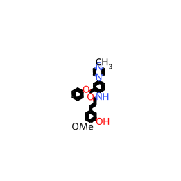 COc1ccc(/C=C/C(=O)Nc2ccc(N3CCN(C)CC3)cc2COc2ccccc2)cc1O